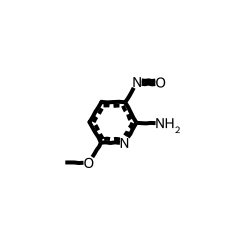 COc1ccc(N=O)c(N)n1